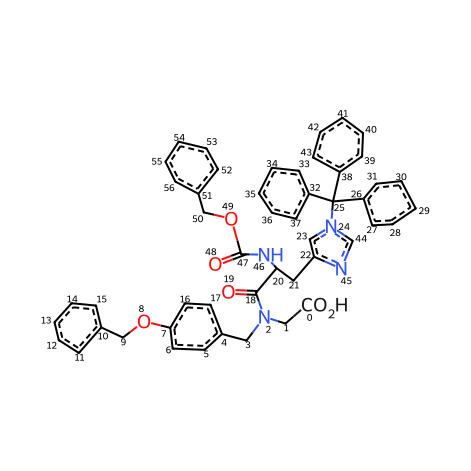 O=C(O)CN(Cc1ccc(OCc2ccccc2)cc1)C(=O)C(Cc1cn(C(c2ccccc2)(c2ccccc2)c2ccccc2)cn1)NC(=O)OCc1ccccc1